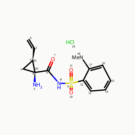 C=C[C@@H]1C[C@@]1(N)C(=O)NS(=O)(=O)c1ccccc1NC.Cl